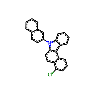 Clc1cccc2c1ccc1c2c2ccccc2n1-c1ccc2ccccc2c1